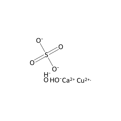 O=S(=O)([O-])[O-].[Ca+2].[Cu+2].[OH-].[OH-]